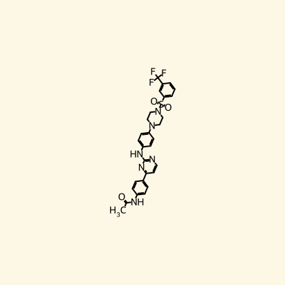 CC(=O)Nc1ccc(-c2ccnc(Nc3ccc(N4CCN(S(=O)(=O)c5cccc(C(F)(F)F)c5)CC4)cc3)n2)cc1